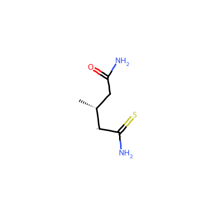 C[C@@H]([CH]C(N)=S)CC(N)=O